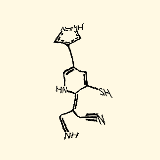 N#C/C(C=N)=C1/NC=C(c2cn[nH]c2)C=C1S